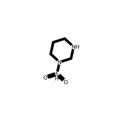 O=[SH](=O)N1CCCNC1